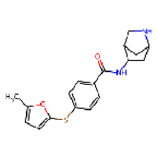 Cc1ccc(Sc2ccc(C(=O)NC3CC4CC3CN4)cc2)o1